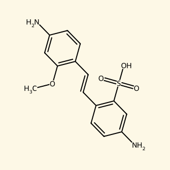 COc1cc(N)ccc1C=Cc1ccc(N)cc1S(=O)(=O)O